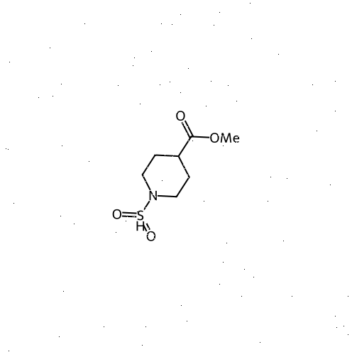 COC(=O)C1CCN([SH](=O)=O)CC1